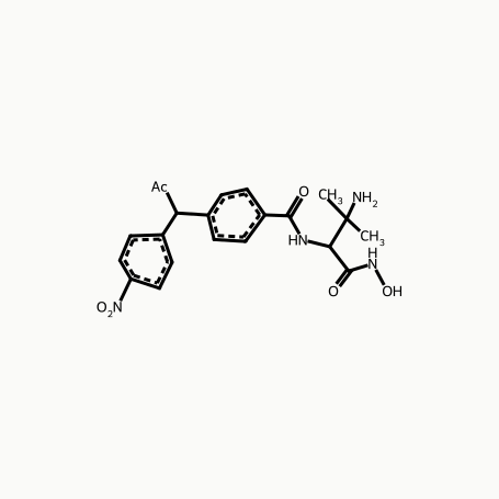 CC(=O)C(c1ccc(C(=O)NC(C(=O)NO)C(C)(C)N)cc1)c1ccc([N+](=O)[O-])cc1